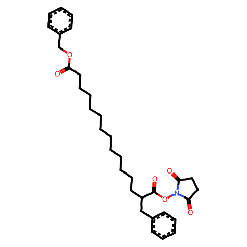 O=C(CCCCCCCCCCCCC(Cc1ccccc1)C(=O)ON1C(=O)CCC1=O)OCc1ccccc1